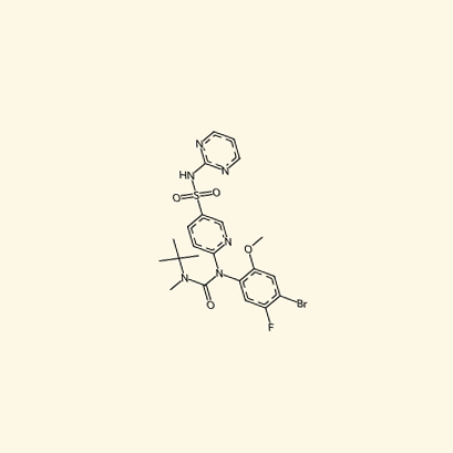 COc1cc(Br)c(F)cc1N(C(=O)N(C)C(C)(C)C)c1ccc(S(=O)(=O)Nc2ncccn2)cn1